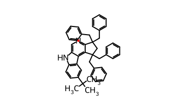 CC(C)(C)c1ccc2[nH]c3cnc4c(c3c2c1)C(Cc1ccccc1)(Cc1ccccc1)CC4(Cc1ccccc1)Cc1ccccc1